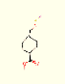 COC(=O)[C@H]1CC[C@@H](COSI)CC1